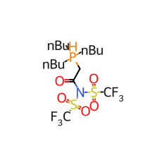 CCCC[PH](CCCC)(CCCC)CC(=O)N(S(=O)(=O)C(F)(F)F)S(=O)(=O)C(F)(F)F